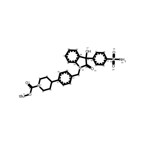 CC(C)(C)OC(=O)N1CCC(c2ccc(CN3C(=O)C(O)(c4ccc(S(N)(=O)=O)cc4)c4ccccc43)cc2)CC1